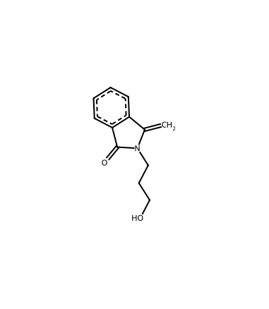 C=C1c2ccccc2C(=O)N1CCCO